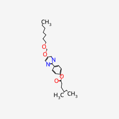 CCCCCCCOCOc1cnc(-c2ccc(OC(=O)CCC(C)CC)cc2)nc1